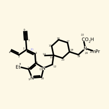 C#C/C(C=C)=C/c1c(CC)ncn1CC1(C)CCCC(CN(CCC)C(=O)O)C1